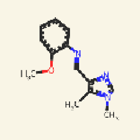 COc1ccccc1N=Cc1ncn(C)c1C